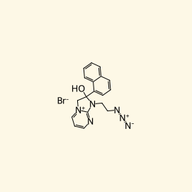 [Br-].[N-]=[N+]=NCCN1c2nccc[n+]2CC1(O)c1cccc2ccccc12